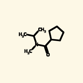 CC(C)N(C)C(=O)C1CCCC1